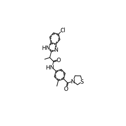 Cc1cc(NC(=O)C(C)c2nc3cc(Cl)ccc3[nH]2)ccc1C(=O)N1CCSC1